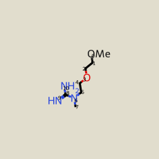 COCCOCCN(C)C(=N)N